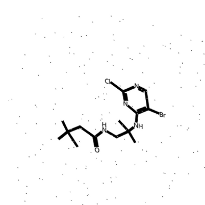 CC(C)(C)CC(=O)NCC(C)(C)Nc1nc(Cl)ncc1Br